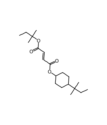 CCC(C)(C)OC(=O)/C=C/C(=O)OC1CCC(C(C)(C)CC)CC1